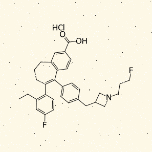 CCc1cc(F)ccc1C1=C(c2ccc(CC3CN(CCCF)C3)cc2)c2ccc(C(=O)O)cc2CCC1.Cl